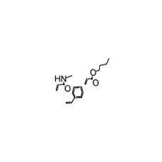 C=CC(=O)NC.C=CC(=O)OCCCC.C=Cc1ccccc1